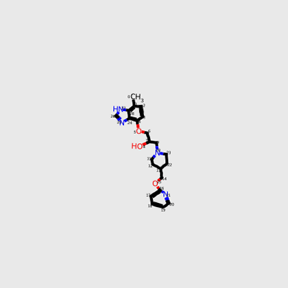 Cc1ccc(OCC(O)CN2CCC(COc3ccccn3)CC2)c2nc[nH]c12